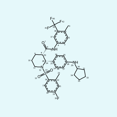 Cc1ccc(NC(=O)[C@H]2CCCN(S(=O)(=O)c3ccc(F)cc3C)[C@H]2c2ccc(NC3CCCC3)cc2)cc1C(F)(F)F